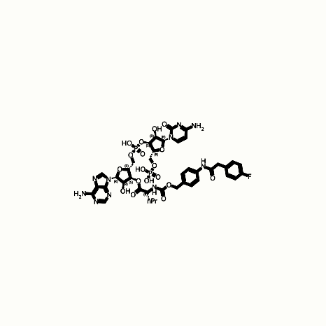 CCC[C@@H](NC(=O)OCc1ccc(NC(=O)Cc2ccc(F)cc2)cc1)C(=O)O[C@H]1[C@@H](O)[C@H](n2cnc3c(N)ncnc32)O[C@@H]1COP(=O)(O)O[C@H]1[C@@H](O)[C@H](n2ccc(N)nc2=O)O[C@@H]1COP(=O)(O)O